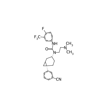 CN(C)CCN(C(=O)Nc1ccc(F)c(C(F)(F)F)c1)[C@@H]1CC[C@@]2(c3cccc(C#N)c3)CC2C1